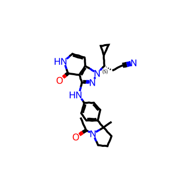 CC(=O)N1CCCC1(C)c1ccc(Nc2nn([C@@H](CC#N)C3CC3)c3cc[nH]c(=O)c23)cc1